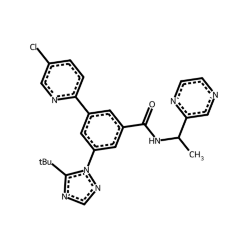 CC(NC(=O)c1cc(-c2ccc(Cl)cn2)cc(-n2ncnc2C(C)(C)C)c1)c1cnccn1